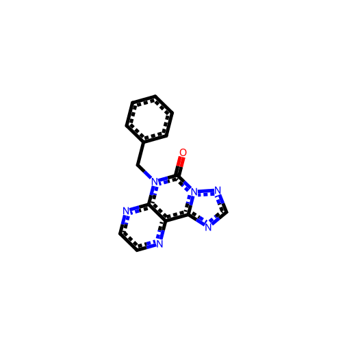 O=c1n(Cc2ccccc2)c2nccnc2c2ncnn12